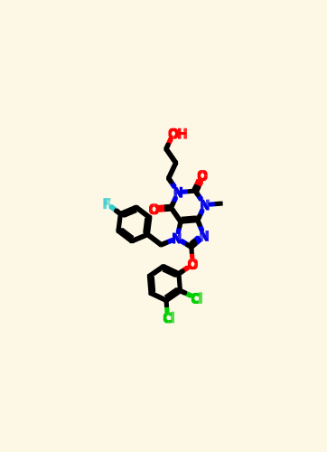 Cn1c(=O)n(CCCO)c(=O)c2c1nc(Oc1cccc(Cl)c1Cl)n2Cc1ccc(F)cc1